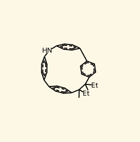 CCC1(C)c2ccc(cc2)-c2ccc(cc2)Nc2ccc(cc2)-c2ccc(cc2)C1(C)CC